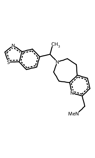 CNCc1ccc2c(n1)CCN(C(C)c1ccc3scnc3c1)CC2